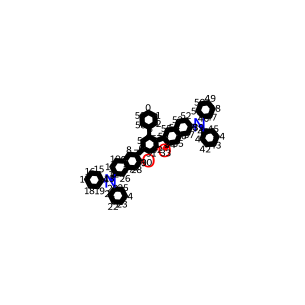 c1ccc(-c2cc3c4cc5ccc(N(c6ccccc6)c6ccccc6)cc5cc4oc3c3oc4cc5cc(N(c6ccccc6)c6ccccc6)ccc5cc4c23)cc1